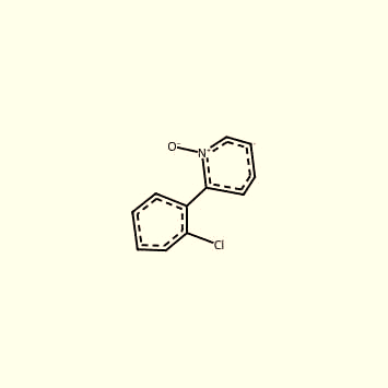 [O-][n+]1c[c]ccc1-c1ccccc1Cl